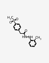 Cc1ccccc1NNC(=O)Cc1ccc(S(C)(=O)=O)cc1